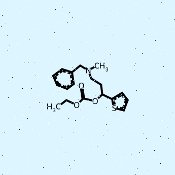 CCOC(=O)OC(CCN(C)Cc1ccccc1)c1cccs1